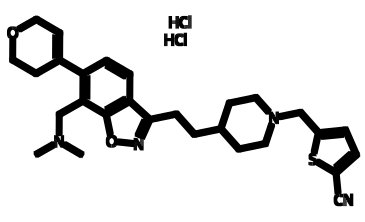 CN(C)Cc1c(C2=CCOCC2)ccc2c(CCC3CCN(Cc4ccc(C#N)s4)CC3)noc12.Cl.Cl